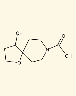 O=C(O)N1CCC2(CC1)OCCC2O